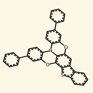 c1ccc(-c2ccc3c(c2)Oc2cc4c(sc5ccccc54)c4c2N3c2ccc(-c3ccccc3)cc2O4)cc1